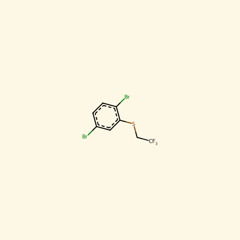 FC(F)(F)CSc1cc(Br)ccc1Br